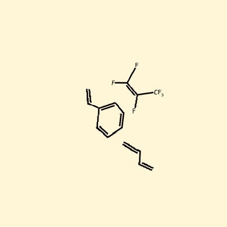 C=CC=C.C=Cc1ccccc1.FC(F)=C(F)C(F)(F)F